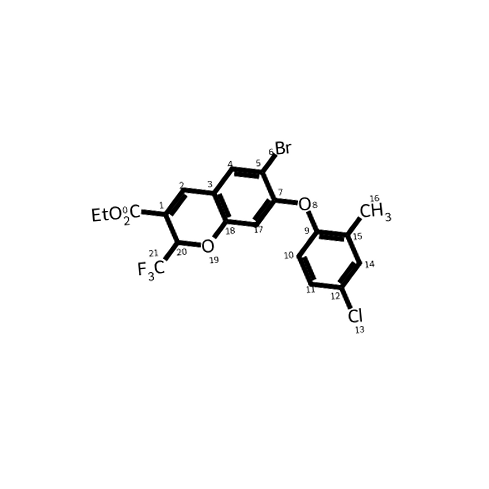 CCOC(=O)C1=Cc2cc(Br)c(Oc3ccc(Cl)cc3C)cc2OC1C(F)(F)F